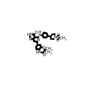 CC1(C)Oc2cc(-c3cc4nc[nH]c(=O)c4c(Nc4ccc(C5CCN(S(C)(=O)=O)CC5)cc4)n3)ccc2NC1=O